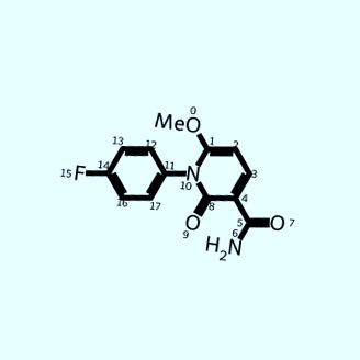 COc1ccc(C(N)=O)c(=O)n1-c1ccc(F)cc1